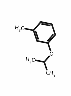 Cc1[c]ccc(OC(C)C)c1